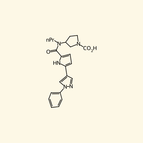 CCCN(C(=O)c1ccc(-c2cnn(-c3ccccc3)c2)[nH]1)C1CCN(C(=O)O)C1